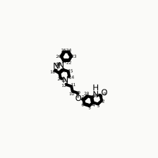 O=C1CCc2ccc(OCCCCN3CCc4c(cnn4-c4ccccc4)C3)cc2N1